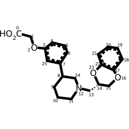 O=C(O)COc1cccc(C2CCCN(C[C@H]3COc4ccccc4O3)C2)c1